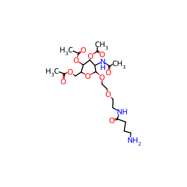 CC(=O)NC1C(OCCOCCNC(=O)CCCN)OC(COC(C)=O)C(OC(C)=O)C1OC(C)=O